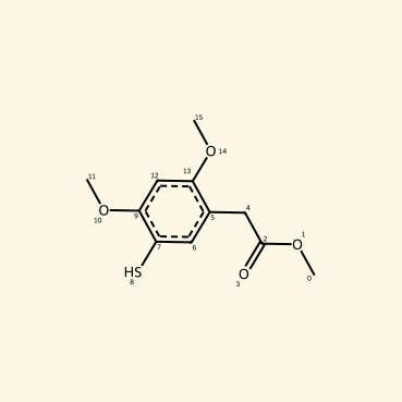 COC(=O)Cc1cc(S)c(OC)cc1OC